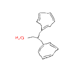 CC(c1ccccc1)c1ccccc1.O